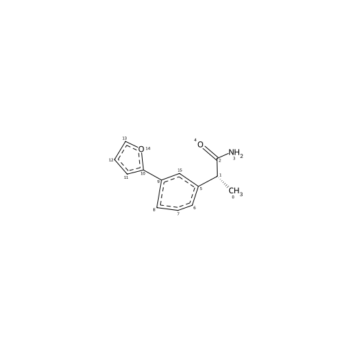 C[C@@H](C(N)=O)c1cccc(-c2ccco2)c1